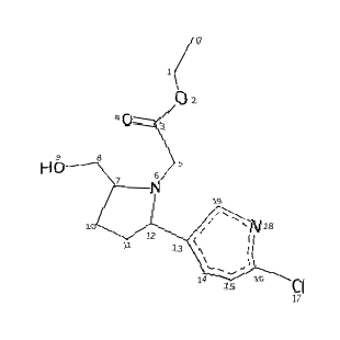 CCOC(=O)CN1C(CO)CCC1c1ccc(Cl)nc1